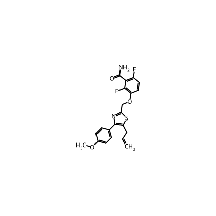 C=CCc1sc(COc2ccc(F)c(C(N)=O)c2F)nc1-c1ccc(OC)cc1